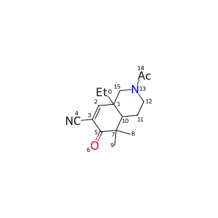 CCC12C=C(C#N)C(=O)C(C)(C)C1CCN(C(C)=O)C2